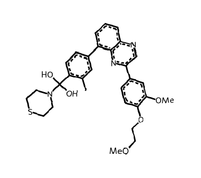 COCCOc1ccc(-c2cnc3cccc(-c4ccc(C(O)(O)N5CCSCC5)c(C)c4)c3n2)cc1OC